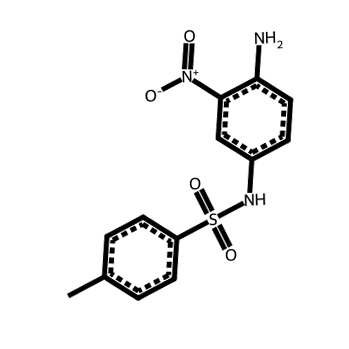 Cc1ccc(S(=O)(=O)Nc2ccc(N)c([N+](=O)[O-])c2)cc1